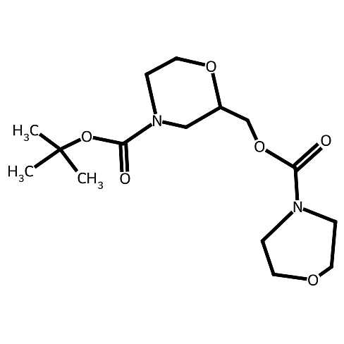 CC(C)(C)OC(=O)N1CCOC(COC(=O)N2CCOCC2)C1